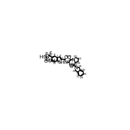 CC(C)(C)C(NC(=O)c1cc2cc(C(F)(F)P(=O)(O)O)ccc2s1)C(=O)N1CCC[C@H]1C(=O)N1Cc2ccccc2C1